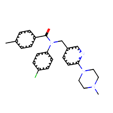 Cc1ccc(C(=O)N(Cc2ccc(N3CCN(C)CC3)nc2)c2ccc(Cl)cc2)cc1